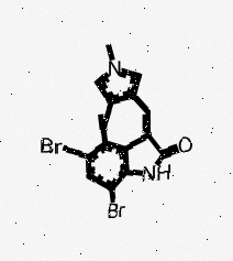 Cc1cn(C)cc1C=C1C(=O)Nc2c(Br)cc(Br)c(C)c21